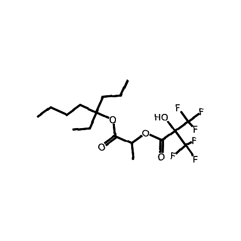 CCCCC(CC)(CCC)OC(=O)C(C)OC(=O)C(O)(C(F)(F)F)C(F)(F)F